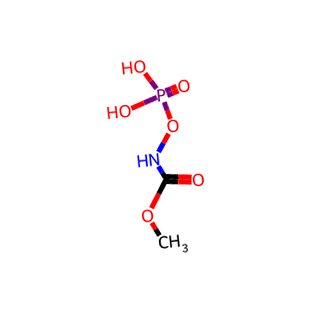 COC(=O)NOP(=O)(O)O